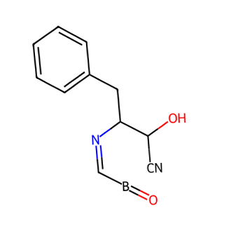 N#CC(O)C(Cc1ccccc1)/N=C\B=O